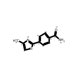 Cc1csc(-c2ccc(C(N)=O)cc2)n1